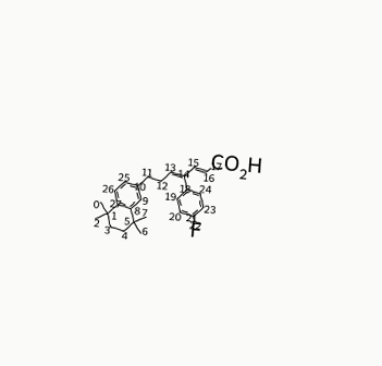 CC1(C)CCC(C)(C)c2cc(CCC=C(C=CC(=O)O)c3ccc(F)cc3)ccc21